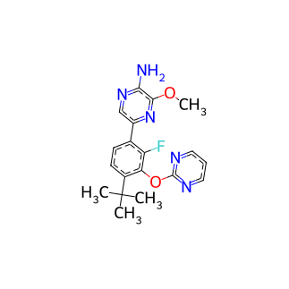 COc1nc(-c2ccc(C(C)(C)C)c(Oc3ncccn3)c2F)cnc1N